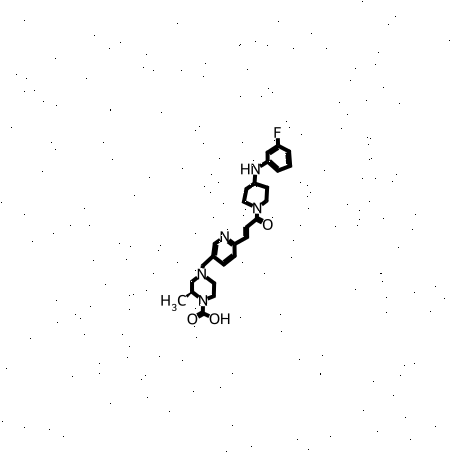 C[C@H]1CN(Cc2ccc(/C=C/C(=O)N3CCC(Nc4cccc(F)c4)CC3)nc2)CCN1C(=O)O